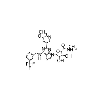 CNC(=O)[C@H]1O[C@@H](n2cnc3c(NCc4cccc(C(F)(F)F)c4)nc(-c4cncc(OC)c4)nc32)[C@H](O)[C@@H]1O